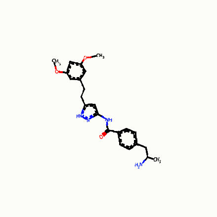 COc1cc(CCc2cc(NC(=O)c3ccc(CC(C)N)cc3)n[nH]2)cc(OC)c1